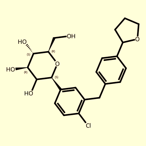 OC[C@H]1O[C@@H](c2ccc(Cl)c(Cc3ccc(C4CCCO4)cc3)c2)C(O)[C@@H](O)[C@@H]1O